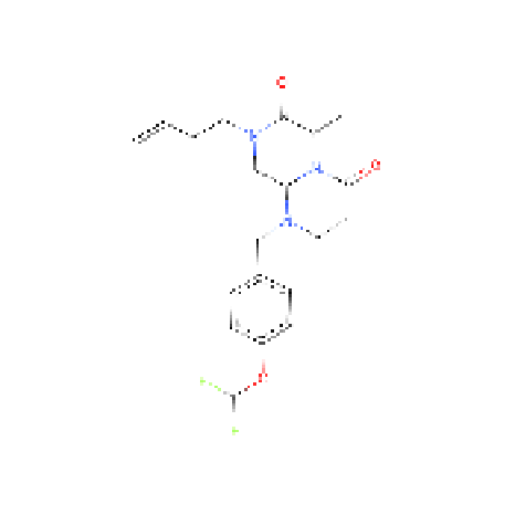 C=CCCN1CC2N(Cc3ccc(OC(F)F)cc3)CCC(=O)N2C(C)C1=O